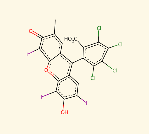 Cc1cc2c(-c3c(Cl)c(Cl)c(Cl)c(Cl)c3C(=O)O)c3cc(I)c(O)c(I)c3oc-2c(I)c1=O